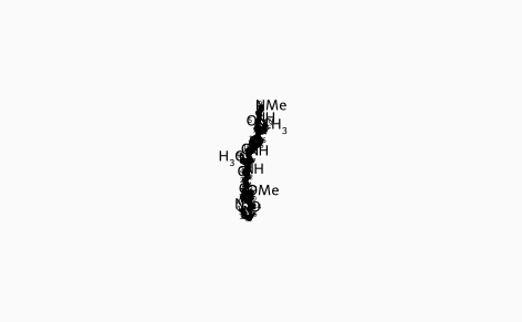 CNCCNC(=O)c1cc(-c2ccc(NC(=O)c3cc(NC(=O)CCCOc4cc5c(cc4OC)C(=O)N4CCCC4C=N5)cn3C)cc2)cn1C